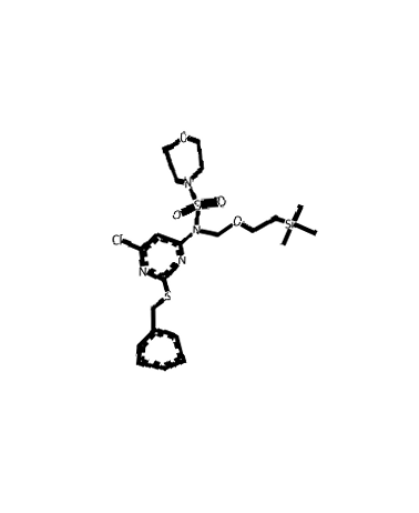 C[Si](C)(C)CCOCN(c1cc(Cl)nc(SCc2ccccc2)n1)S(=O)(=O)N1CCOCC1